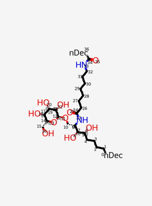 CCCCCCCCCCCCCC[C@@H](O)[C@@H](O)[C@H](CO[C@H]1O[C@H](CO)[C@H](O)[C@H](O)[C@H]1O)NC(=O)CCCCCCCNC(=O)CCCCCCCCCC